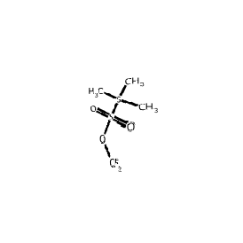 CS(C)(C)S(=O)(=O)OC(F)(F)F